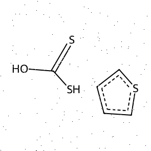 OC(=S)S.c1ccsc1